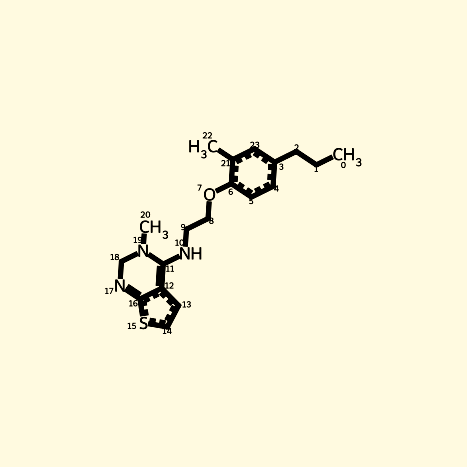 CCCc1ccc(OCCNC2=c3ccsc3=NCN2C)c(C)c1